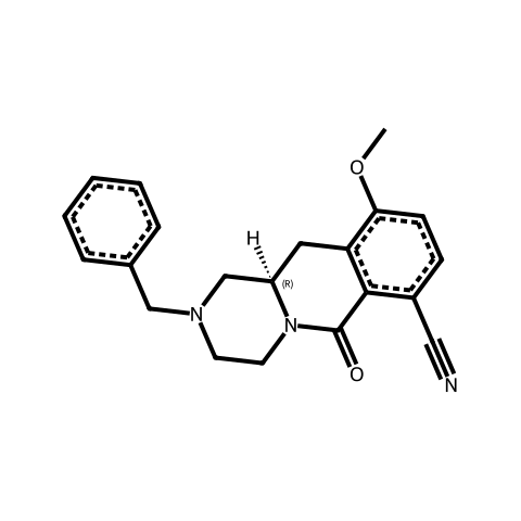 COc1ccc(C#N)c2c1C[C@@H]1CN(Cc3ccccc3)CCN1C2=O